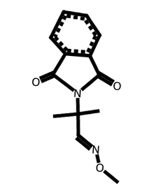 CON=CC(C)(C)N1C(=O)c2ccccc2C1=O